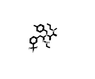 C=C(C(=C)N(Cc1ccc(C)cc1)/C(Cc1cccc(C(F)(F)F)c1)=N\NCC)N(C)CCC